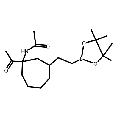 CC(=O)NC1(C(C)=O)CCCCC(CCB2OC(C)(C)C(C)(C)O2)C1